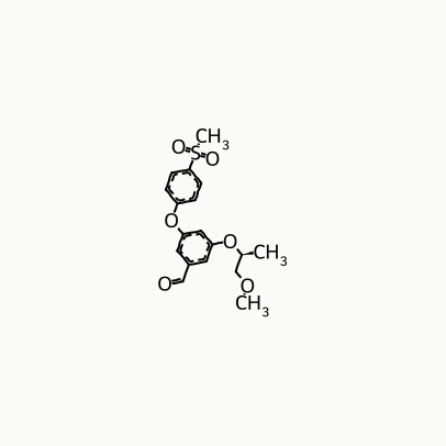 COC[C@H](C)Oc1cc(C=O)cc(Oc2ccc(S(C)(=O)=O)cc2)c1